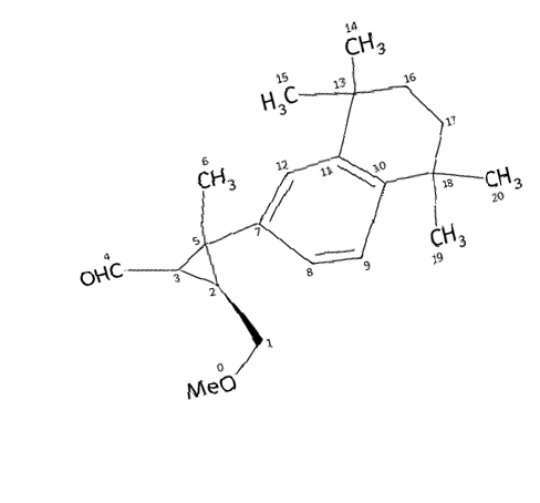 COC[C@H]1C(C=O)C1(C)c1ccc2c(c1)C(C)(C)CCC2(C)C